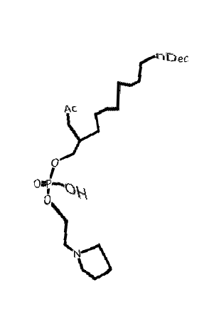 CCCCCCCCCCCCCCCCC(COP(=O)(O)OCCN1CCCC1)CC(C)=O